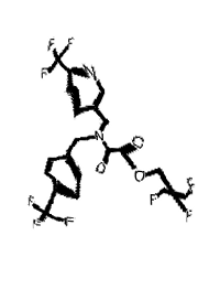 O=C(OCC(F)(F)F)C(=O)N(Cc1ccc(C(F)(F)F)cc1)Cc1ccc(C(F)(F)F)nc1